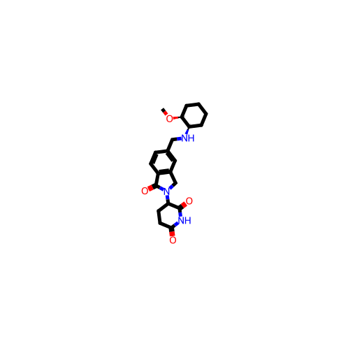 CO[C@H]1CCCC[C@H]1NCc1ccc2c(c1)CN(C1CCC(=O)NC1=O)C2=O